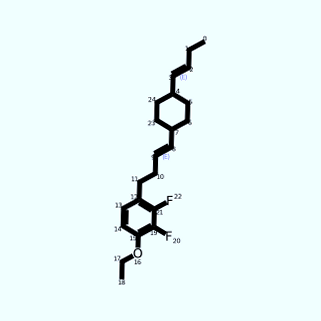 CC/C=C/C1CCC(/C=C/CCc2ccc(OCC)c(F)c2F)CC1